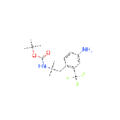 CC(C)(Cc1ccc(N)cc1C(F)(F)F)NC(=O)OC(C)(C)C